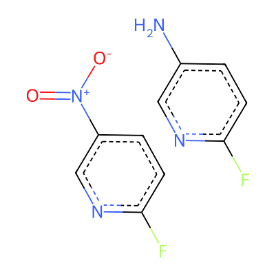 Nc1ccc(F)nc1.O=[N+]([O-])c1ccc(F)nc1